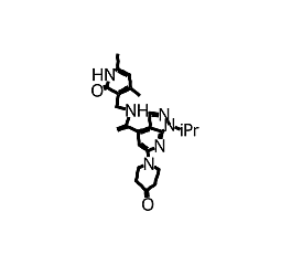 C=C(NCc1c(C)cc(C)[nH]c1=O)c1cc(N2CCC(=O)CC2)nc2c1cnn2C(C)C